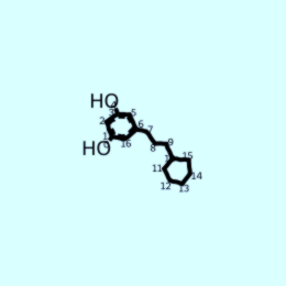 Oc1cc(O)cc(CCCC2CCCCC2)c1